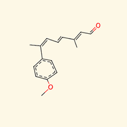 COc1ccc(\C(C)=C/C=C/C(C)=C/C=O)cc1